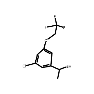 CC(S)c1cc(Cl)cc(OCC(F)(F)F)c1